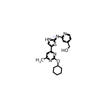 Cc1cc(-c2c[nH]/c(=N/c3cc(CO)ccn3)s2)nc(OC2CCCCC2)n1